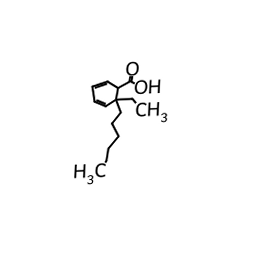 CCCCCCC1(CC)C=CC=CC1C(=O)O